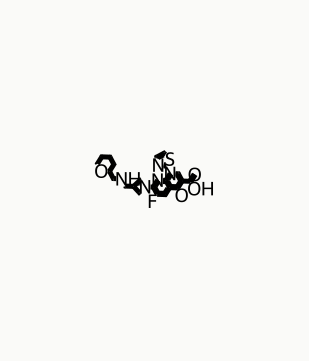 O=C(O)c1cn(-c2nccs2)c2nc(N3CC(CNCC4CCCCO4)C3)c(F)cc2c1=O